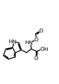 O=CONC(Cc1c[nH]c2ccccc12)C(=O)O